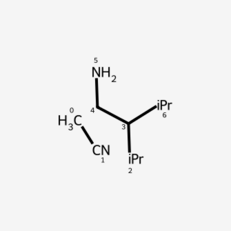 CC#N.CC(C)C(CN)C(C)C